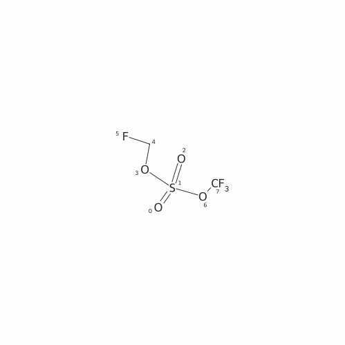 O=S(=O)(OCF)OC(F)(F)F